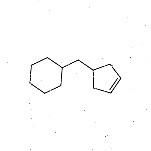 C1=CC[C](CC2CCCCC2)C1